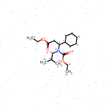 CCOC(=O)CC(C1CCCCC1)N(CC(C)C)C(=O)OCC